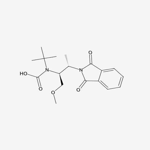 COC[C@H]([C@H](C)N1C(=O)c2ccccc2C1=O)N(C(=O)O)C(C)(C)C